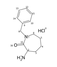 Cl.NC1CCCCN(Cc2ccccc2)C1=O